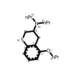 CCCOc1cccc2c1CC(N(CCC)CCC)CS2